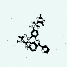 CC(=O)Nc1nc2c(s1)-c1c(c(-c3ccco3)nn1-c1ccc(NS(=O)(=O)c3sc(C)nc3C)cc1Cl)CC2